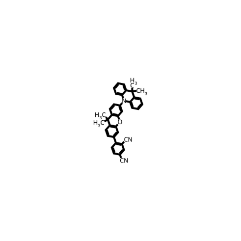 CC1(C)c2ccc(-c3ccc(C#N)cc3C#N)cc2Oc2cc(N3c4ccccc4C(C)(C)c4ccccc43)ccc21